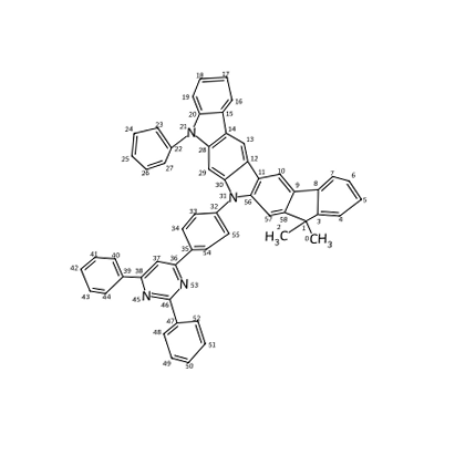 CC1(C)c2ccccc2-c2cc3c4cc5c6ccccc6n(-c6ccccc6)c5cc4n(-c4ccc(-c5cc(-c6ccccc6)nc(-c6ccccc6)n5)cc4)c3cc21